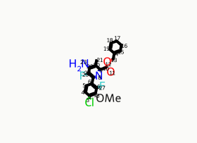 COc1c(Cl)ccc(-c2nc(C(=O)OCC3=CCCC=C3)c(C)c(N)c2F)c1F